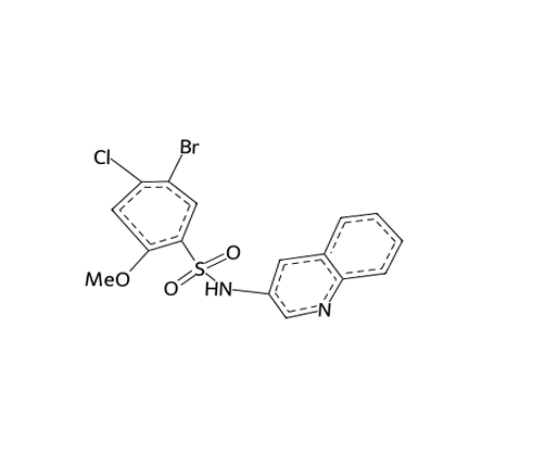 COc1cc(Cl)c(Br)cc1S(=O)(=O)Nc1cnc2ccccc2c1